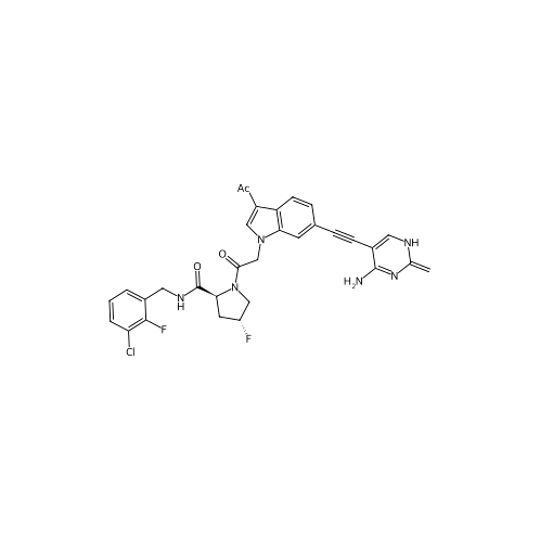 C=C1N=C(N)C(C#Cc2ccc3c(C(C)=O)cn(CC(=O)N4C[C@H](F)C[C@H]4C(=O)NCc4cccc(Cl)c4F)c3c2)=CN1